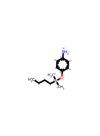 CCCC[Si](C)(C)Oc1ccc(N)cc1